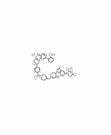 Cc1cn([C@H]2CCN(CC3CCN(C(=O)c4ccc([C@@H]5CN(c6cc(-c7ccccc7O)nnc6N)[C@H](C)CO5)cc4)CC3)C[C@@H]2F)c2ncc(N3CCC(=O)NC3=O)cc12